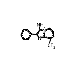 Nc1c(-c2ccccc2)nc2c(C(F)(F)F)cccn12